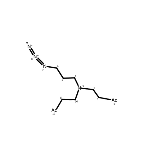 CC(=O)CCN(CCCN=[N+]=[N-])CCC(C)=O